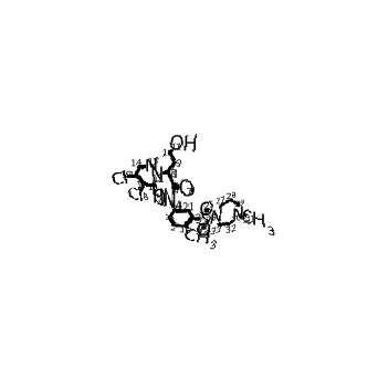 Cc1ccc(NC(=O)C(CCO)n2ncc(Cl)c(Cl)c2=O)cc1S(=O)(=O)N1CCCN(C)CC1